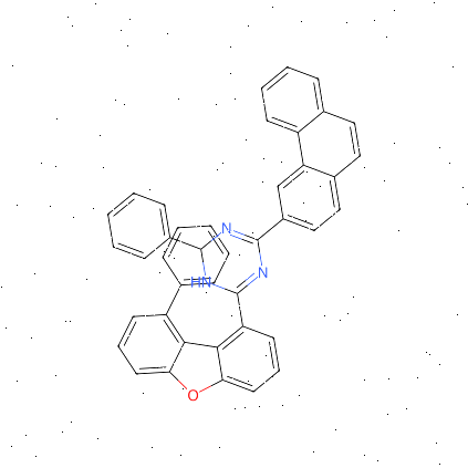 c1ccc(-c2cccc3oc4cccc(C5=NC(c6ccc7ccc8ccccc8c7c6)=NC(c6ccccc6)N5)c4c23)cc1